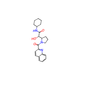 O=C(NC1CCCCC1)C(O)C1CCCN1C(=O)c1ccc2ccccc2n1